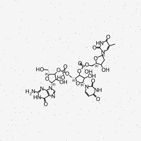 Cc1cn([C@H]2CC(O)[C@@H](COP(=O)(O)OC3C(O)[C@H](n4ccc(=O)[nH]c4=O)O[C@@H]3COP(=O)(O)OC3C(O)[C@H](n4cnc5c(=O)[nH]c(N)nc54)O[C@@H]3CO)O2)c(=O)[nH]c1=O